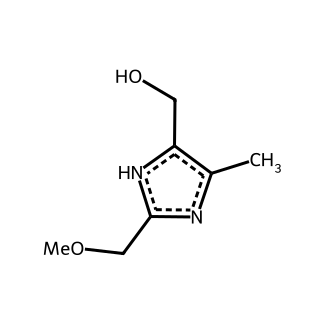 COCc1nc(C)c(CO)[nH]1